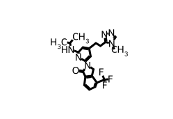 CC(C)Nc1cc(CCc2nncn2C)cc(N2Cc3c(cccc3C(F)(F)F)C2=O)n1